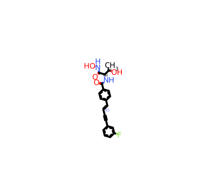 C[C@@H](O)[C@H](NC(=O)c1ccc(/C=C/C#Cc2cccc(F)c2)cc1)C(=O)NO